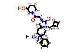 CN(C)[C@]1(c2ccccc2)CC[C@]2(CC1)CN(CC(=O)N1CCCC(O)C1)C(=O)N2CC1CCC1